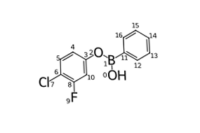 OB(Oc1ccc(Cl)c(F)c1)c1ccccc1